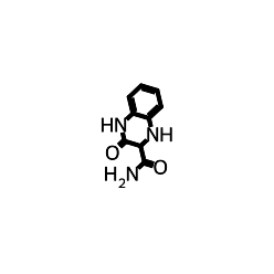 NC(=O)C1Nc2ccccc2NC1=O